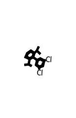 CC(C)c1cccc(C(C)C)c1-c1cc(Cl)cc(Cl)c1